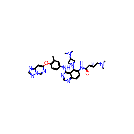 Cc1cc(Nc2ncnc3ccc(NC(=O)/C=C/CN(C)C)c(N4CC(N(C)C)C4)c23)ccc1Oc1cc2ncnn2cn1